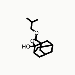 CC(C)COC(=O)C12CC3CC(CC(C3)C1(C)O)C2